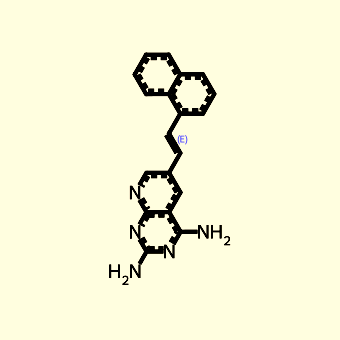 Nc1nc(N)c2cc(/C=C/c3cccc4ccccc34)cnc2n1